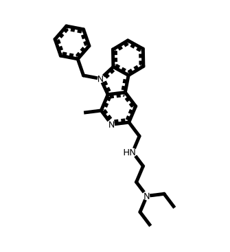 CCN(CC)CCNCc1cc2c3ccccc3n(Cc3ccccc3)c2c(C)n1